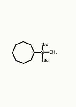 CC(C)(C)[Si](C)([C]1CCCCCCC1)C(C)(C)C